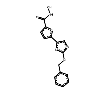 O=C(NO)c1ccc(-c2csc(NCc3ccccc3)n2)s1